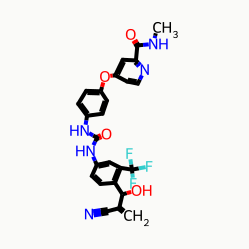 C=C(C#N)C(O)c1ccc(NC(=O)Nc2ccc(Oc3ccnc(C(=O)NC)c3)cc2)cc1C(F)(F)F